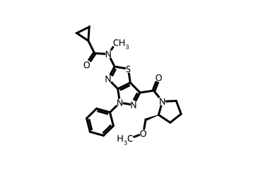 COC[C@@H]1CCCN1C(=O)c1nn(-c2ccccc2)c2nc(N(C)C(=O)C3CC3)sc12